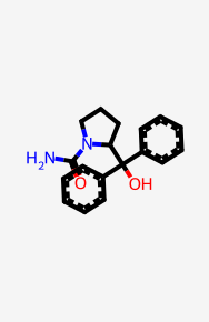 NC(=O)N1CCCC1C(O)(c1ccccc1)c1ccccc1